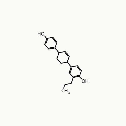 CCCc1cc(C2C=CC(c3ccc(O)cc3)CC2)ccc1O